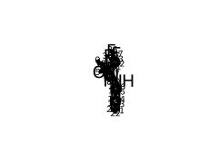 C=CCn1c(=O)c2cnc(Nc3ccc(N4CCN(C(C)(C)C)CC4)cc3)nc2n1-c1cccc(C(F)(F)F)n1